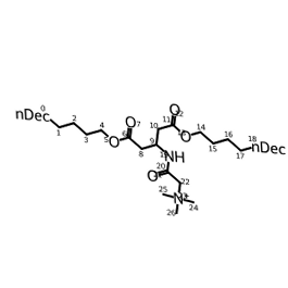 CCCCCCCCCCCCCCOC(=O)CC(CC(=O)OCCCCCCCCCCCCCC)NC(=O)C[N+](C)(C)C